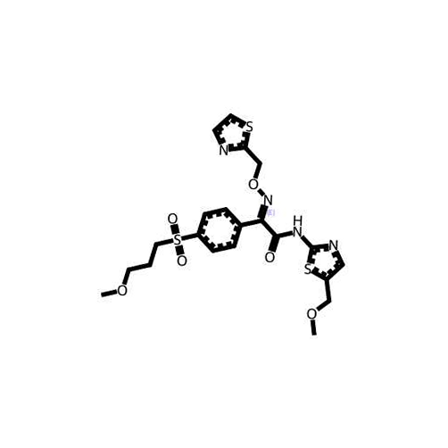 COCCCS(=O)(=O)c1ccc(/C(=N\OCc2nccs2)C(=O)Nc2ncc(COC)s2)cc1